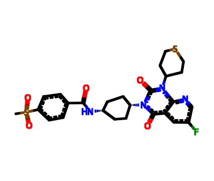 CS(=O)(=O)c1ccc(C(=O)N[C@H]2CC[C@@H](n3c(=O)c4cc(F)cnc4n(C4CCSCC4)c3=O)CC2)cc1